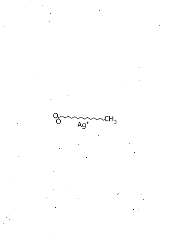 CCCCCCCCCCCCCCCC(=O)[O-].[Ag+]